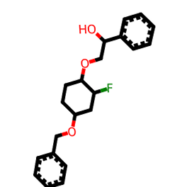 OC(COC1CCC(OCc2ccccc2)CC1F)c1ccccc1